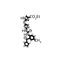 CCOC(=O)c1c[nH]c(Sc2cnc(NC(=O)Nc3ccc(C)cc3C(=O)C3CCCC3)s2)n1